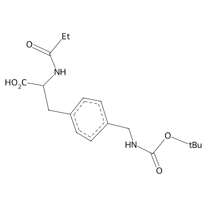 CCC(=O)NC(Cc1ccc(CNC(=O)OC(C)(C)C)cc1)C(=O)O